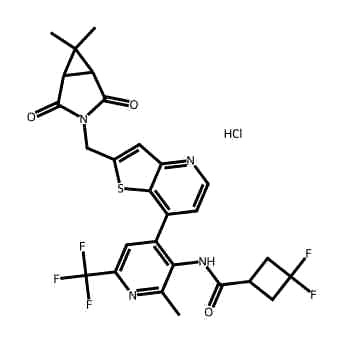 Cc1nc(C(F)(F)F)cc(-c2ccnc3cc(CN4C(=O)C5C(C4=O)C5(C)C)sc23)c1NC(=O)C1CC(F)(F)C1.Cl